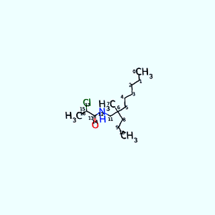 CCCCCCC(C)(CCC)CNC(=O)[C@@H](C)Cl